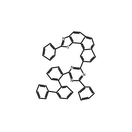 c1ccc(-c2nc(-c3ccc4ccc5ccc6nc(-c7ccccc7)sc6c5c4c3)nc(-c3ccccc3-c3ccccc3-c3ccccc3)n2)cc1